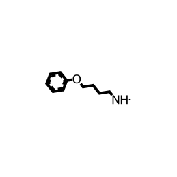 [NH]CCCCOc1ccccc1